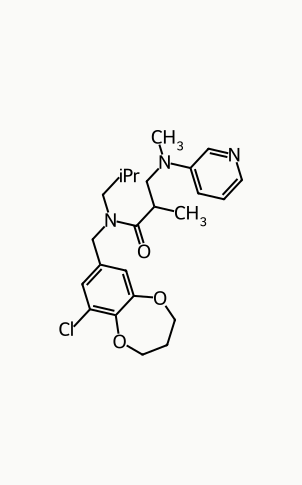 CC(C)CN(Cc1cc(Cl)c2c(c1)OCCCO2)C(=O)C(C)CN(C)c1cccnc1